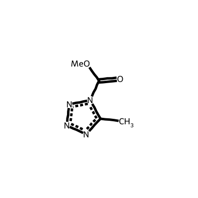 COC(=O)n1nnnc1C